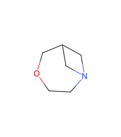 C1CN2CC(CO1)C2